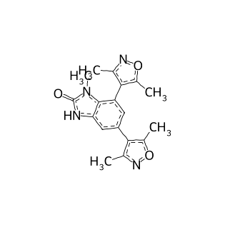 Cc1noc(C)c1-c1cc(-c2c(C)noc2C)c2c(c1)[nH]c(=O)n2C